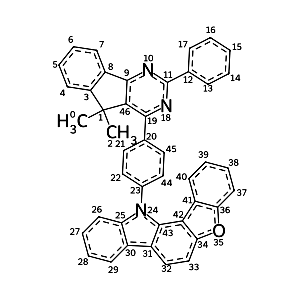 CC1(C)c2ccccc2-c2nc(-c3ccccc3)nc(-c3ccc(-n4c5ccccc5c5ccc6oc7ccccc7c6c54)cc3)c21